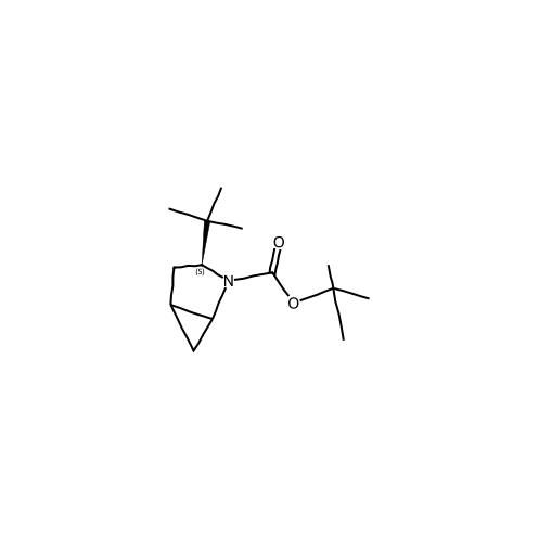 CC(C)(C)OC(=O)N1C2CC2C[C@H]1C(C)(C)C